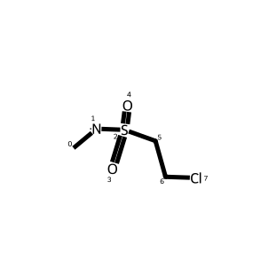 C[N]S(=O)(=O)CCCl